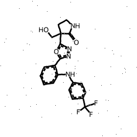 O=C1NCCC1(CO)c1nnc(-c2ccccc2Nc2ccc(C(F)(F)F)cc2)o1